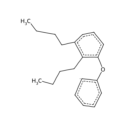 CCCCc1cccc(Oc2[c]cccc2)c1CCCC